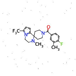 Cc1cc(C(=O)N2CCC3(CC2)c2ccc(C(F)(F)F)n2CCN3C)ccc1F